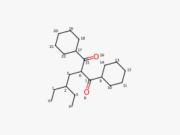 CCC(CC)CC(C(=O)C1CCCCC1)C(=O)C1CCCCC1